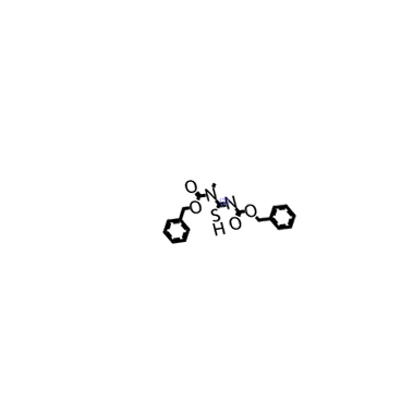 CN(C(=O)OCc1ccccc1)/C(S)=N/C(=O)OCc1ccccc1